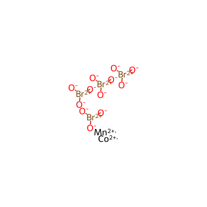 [Co+2].[Mn+2].[O-][Br+2]([O-])[O-].[O-][Br+2]([O-])[O-].[O-][Br+2]([O-])[O-].[O-][Br+2]([O-])[O-]